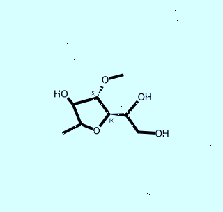 CO[C@H]1C(O)C(C)O[C@@H]1C(O)CO